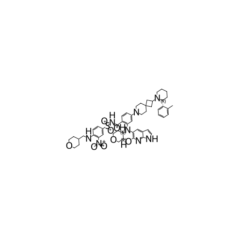 Cc1ccccc1[C@H]1CCCCN1C1CC2(CCN(c3ccc(C(=O)NS(=O)(=O)c4ccc(NCC5CCOCC5)c([N+](=O)[O-])c4)c(N4c5cc6cc[nH]c6nc5O[C@H]5COCC[C@@H]54)c3)CC2)C1